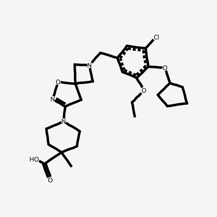 CCOc1cc(CN2CC3(CC(N4CCC(C)(C(=O)O)CC4)=NO3)C2)cc(Cl)c1OC1CCCC1